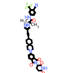 CC(C)(C(=O)Nc1ccc(C#N)c(C(F)(F)F)c1)n1cc(C#CC2CCC3(CC2)CCN(c2ccc4c(c2)C(=O)N(C2CCC(=O)NC2=O)C4=O)CC3)cn1